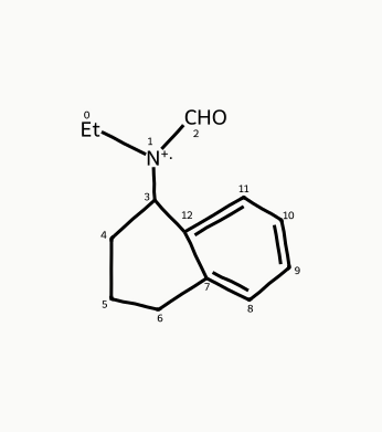 CC[N+](C=O)C1CCCc2ccccc21